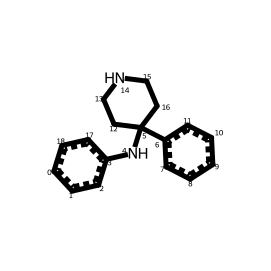 c1ccc(NC2(c3ccccc3)CCNCC2)cc1